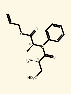 C=CCOC(=O)[C@H](C)N(C(=O)[C@@H](N)CC(=O)O)c1ccccc1